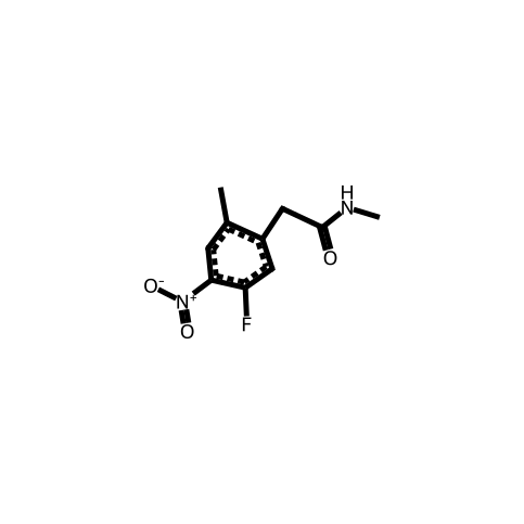 CNC(=O)Cc1cc(F)c([N+](=O)[O-])cc1C